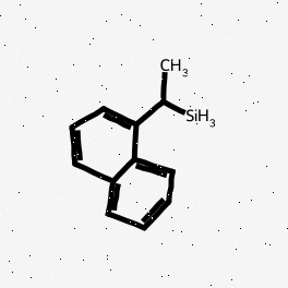 CC([SiH3])c1cccc2ccccc12